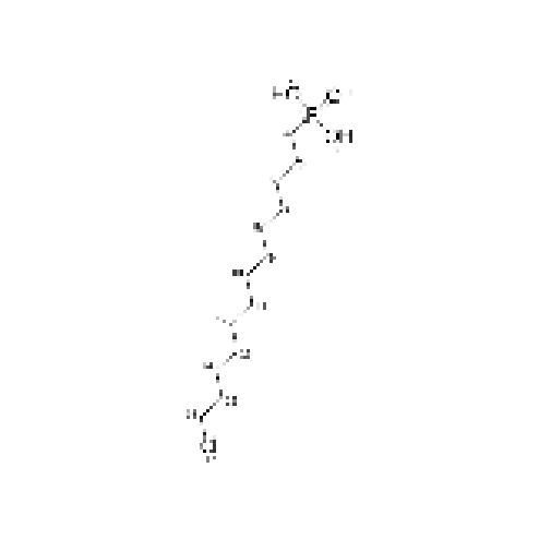 O=P(O)(O)CCCCCCCCCCCCCCl